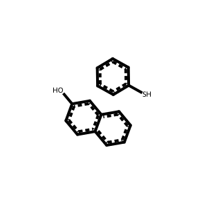 Oc1ccc2ccccc2c1.Sc1ccccc1